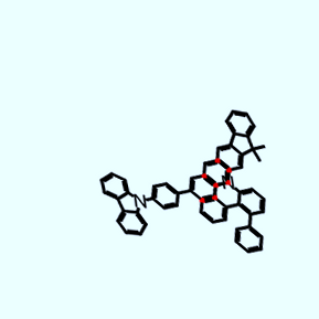 CC1(C)c2ccccc2-c2ccc(N(c3ccc(-c4ccc(-n5c6ccccc6c6ccccc65)cc4)cc3)c3cccc(-c4ccccc4)c3-c3ccccc3-c3ccccc3)cc21